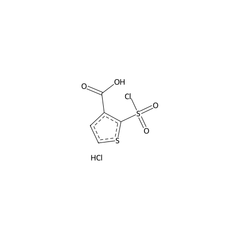 Cl.O=C(O)c1ccsc1S(=O)(=O)Cl